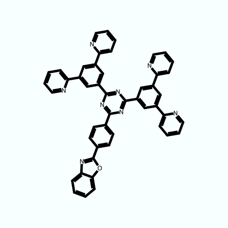 c1ccc(-c2cc(-c3ccccn3)cc(-c3nc(-c4ccc(-c5nc6ccccc6o5)cc4)nc(-c4cc(-c5ccccn5)cc(-c5ccccn5)c4)n3)c2)nc1